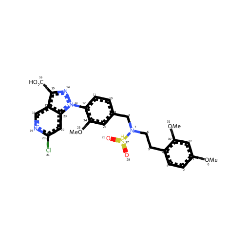 COc1ccc(CCN(Cc2ccc(-n3nc(C(=O)O)c4cnc(Cl)cc43)c(OC)c2)[SH](=O)=O)c(OC)c1